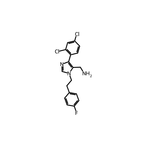 NCc1c(-c2ccc(Cl)cc2Cl)ncn1CCc1ccc(F)cc1